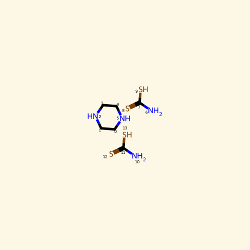 C1CNCCN1.NC(=S)S.NC(=S)S